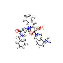 CN(C)c1cccc(CNC[C@@H](O)[C@H](Cc2ccccc2)NC(=O)[C@H]2CC(=O)N(Cc3ccccc3)C2)c1